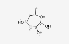 CC1C[C@@H](O)OC(O)C(O)O1